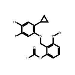 CCOc1cccc(OC(=O)CC)c1COc1cc(F)c(CC)cc1C1CC1